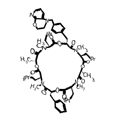 CC(C)C[C@H]1C(=O)O[C@H](Cc2ccc(CN3CCOc4ncccc43)cc2)C(=O)N(C)[C@@H](CC(C)C)C(=O)O[C@H](C)C(=O)N(C)[C@@H](CC(C)C)C(=O)O[C@H](Cc2ccccc2)C(=O)N(C)[C@@H](CC(C)C)C(=O)O[C@H](C)C(=O)N1C